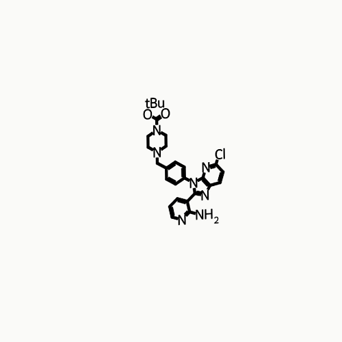 CC(C)(C)OC(=O)N1CCN(Cc2ccc(-n3c(-c4cccnc4N)nc4ccc(Cl)nc43)cc2)CC1